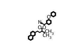 CC(C)C(CCc1ccc2ccccc2c1)C(=O)OC(C#N)c1cccc(Oc2ccccc2)c1